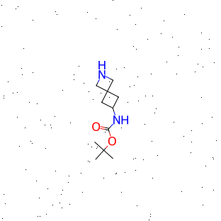 CC(C)(C)OC(=O)NC1CC2(CNC2)C1